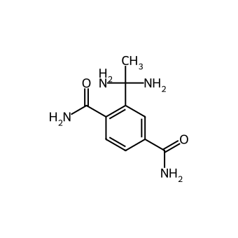 CC(N)(N)c1cc(C(N)=O)ccc1C(N)=O